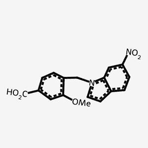 COc1cc(C(=O)O)ccc1Cn1ccc2ccc([N+](=O)[O-])cc21